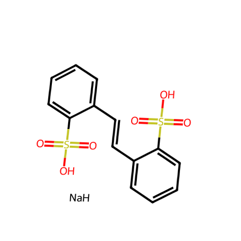 O=S(=O)(O)c1ccccc1C=Cc1ccccc1S(=O)(=O)O.[NaH]